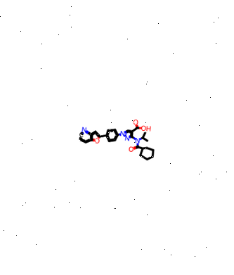 CC(C)N(C(=O)C1CCCCC1)c1nn(-c2ccc(-c3cc4ncccc4o3)cc2)cc1C(=O)O